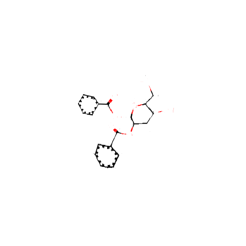 C[C@@H]1C(OC(=O)c2ccccc2)[C@H](OC(=O)c2ccccc2)OC(CO)[C@H]1O